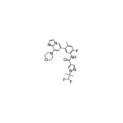 Cc1cc(F)c(NC(=O)c2cnn(C(C)(C)C(F)F)c2)cc1-c1cc(N2CCOCC2)c2nccn2c1